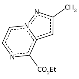 CCOC(=O)c1nccn2nc(C)cc12